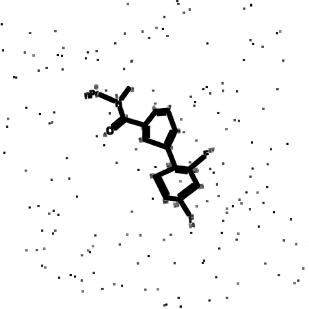 CCCN(C)C(=O)c1cccc(-c2ccc(F)cc2F)c1